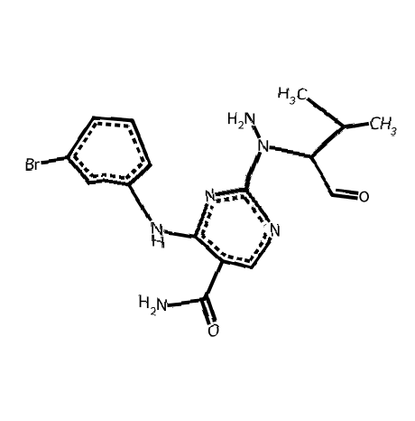 CC(C)C(C=O)N(N)c1ncc(C(N)=O)c(Nc2cccc(Br)c2)n1